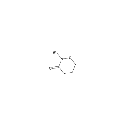 CC(C)N1OCCCC1=O